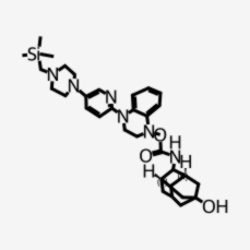 C[Si](C)(C)CN1CCN(c2ccc(N3CCN(OC(=O)NC4[C@@H]5CC6C[C@H]4CC(O)(C6)C5)c4ccccc43)nc2)CC1